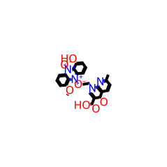 CCn1cc(C(=O)O)c(=O)c2ccc(C)nc21.COc1cccc2c1[n+]([O-])c1cccc(O)c1[n+]2[O-]